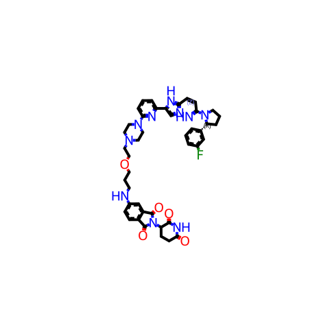 N=C(/C=C\c1ncc(-c2cccc(N3CCN(CCOCCCNc4ccc5c(c4)C(=O)N(C4CCC(=O)NC4=O)C5=O)CC3)n2)[nH]1)N1CCC[C@@H]1c1cccc(F)c1